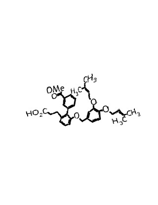 COC(=O)c1cccc(-c2c(CCC(=O)O)cccc2OCc2ccc(OCC=C(C)C)c(OCC=C(C)C)c2)c1